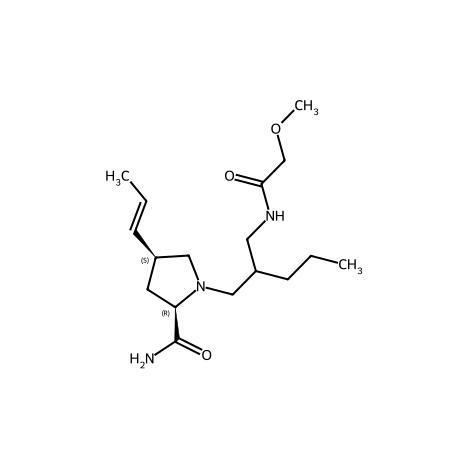 CC=C[C@@H]1C[C@H](C(N)=O)N(CC(CCC)CNC(=O)COC)C1